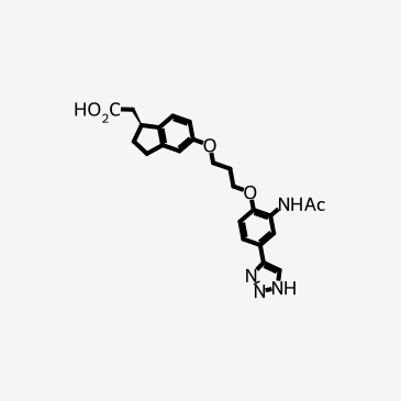 CC(=O)Nc1cc(-c2c[nH]nn2)ccc1OCCCOc1ccc2c(c1)CC[C@H]2CC(=O)O